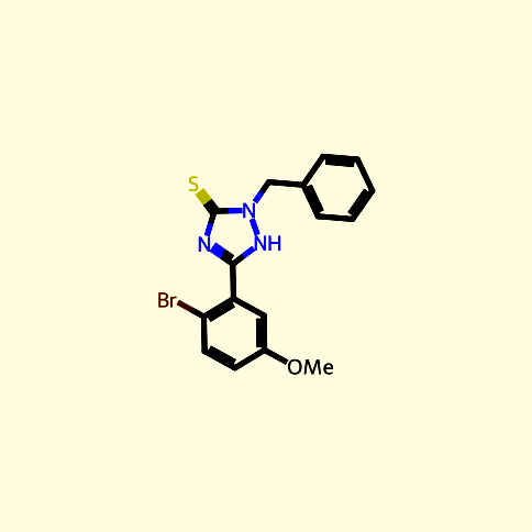 COc1ccc(Br)c(-c2nc(=S)n(Cc3ccccc3)[nH]2)c1